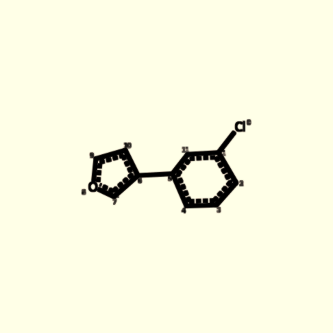 Clc1cccc(-c2[c]occ2)c1